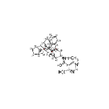 Cc1ncnc(C)c1C(=O)NC1CCC(CCN2C3CCC2CC(n2c(C)nc4ccccc42)C3)(c2ccccc2)CC1